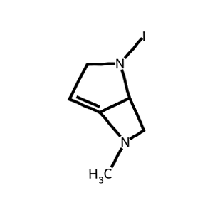 CN1CC2C1=CCN2I